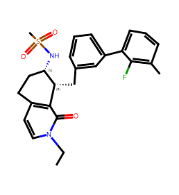 CCn1ccc2c(c1=O)[C@@H](Cc1cccc(-c3cccc(C)c3F)c1)[C@@H](NS(C)(=O)=O)CC2